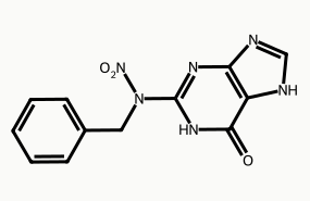 O=c1[nH]c(N(Cc2ccccc2)[N+](=O)[O-])nc2nc[nH]c12